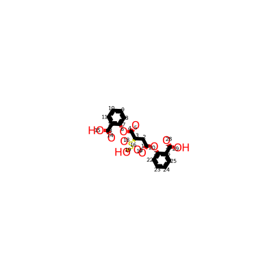 O=C(CC(C(=O)Oc1ccccc1C(=O)O)S(=O)(=O)O)Oc1ccccc1C(=O)O